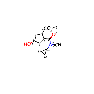 CCOC(=O)C1CC(O)CC1C(=O)N(C#N)C1CC1